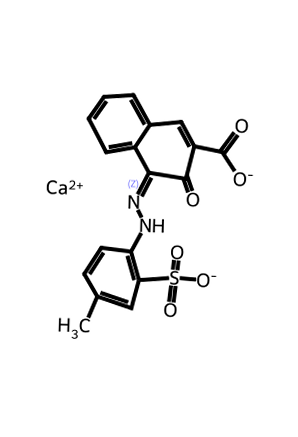 Cc1ccc(N/N=C2\C(=O)C(C(=O)[O-])=Cc3ccccc32)c(S(=O)(=O)[O-])c1.[Ca+2]